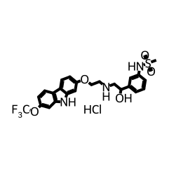 CS(=O)(=O)Nc1cccc(C(O)CNCCOc2ccc3c(c2)[nH]c2cc(OC(F)(F)F)ccc23)c1.Cl